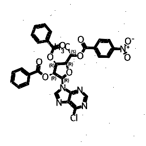 C[C@H](OC(=O)c1ccc([N+](=O)[O-])cc1)[C@H]1O[C@@H](n2cnc3c(Cl)ncnc32)[C@H](OC(=O)c2ccccc2)[C@@H]1OC(=O)c1ccccc1